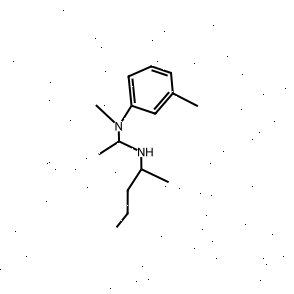 CCCC(C)NC(C)N(C)c1cccc(C)c1